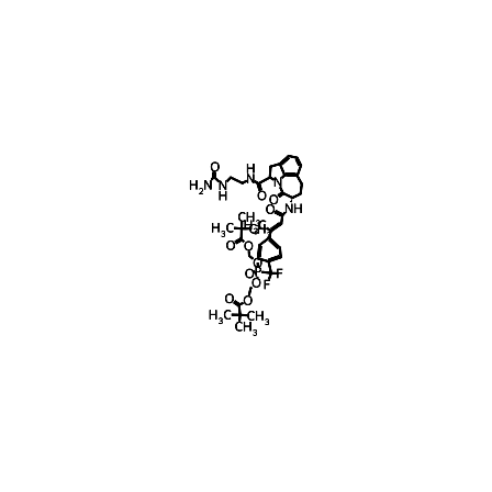 C/C(=C\C(=O)N[C@H]1CCc2cccc3c2N(C1=O)C(C(=O)NCCNC(N)=O)C3)c1ccc(C(F)(F)P(=O)(OCOC(=O)C(C)(C)C)OCOC(=O)C(C)(C)C)cc1